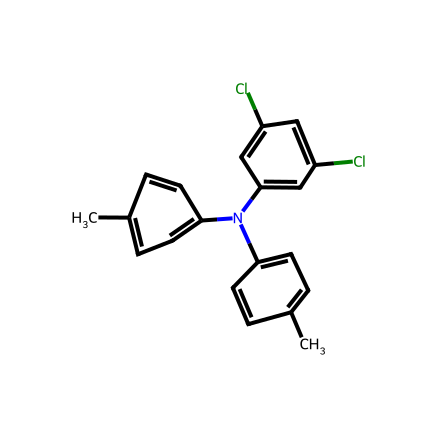 Cc1ccc(N(c2ccc(C)cc2)c2cc(Cl)cc(Cl)c2)cc1